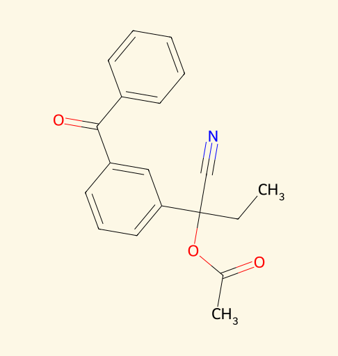 CCC(C#N)(OC(C)=O)c1cccc(C(=O)c2ccccc2)c1